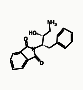 NC[C@@H](O)[C@H](Cc1ccccc1)N1C(=O)c2ccccc2C1=O